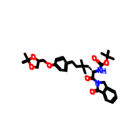 CC(C)(CCc1ccc(OCC2COC(C)(C)O2)cc1)C[C@H](NC(=O)OC(C)(C)C)C(=O)N1Cc2ccccc2C1=O